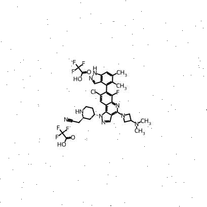 Cc1cc2[nH]ncc2c(-c2c(Cl)cc3c(nc(N4CC(N(C)C)C4)c4cnn([C@H]5CCN[C@H](CC#N)C5)c43)c2F)c1C.O=C(O)C(F)(F)F.O=C(O)C(F)(F)F